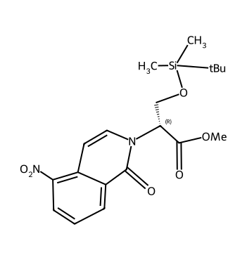 COC(=O)[C@@H](CO[Si](C)(C)C(C)(C)C)n1ccc2c([N+](=O)[O-])cccc2c1=O